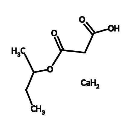 CCC(C)OC(=O)CC(=O)O.[CaH2]